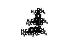 CC(C)(C)OP(Oc1cc2ccc(C(C)(C)C)cc2cc1C(C)(C)C)Oc1cc2ccc(C(C)(C)C)cc2cc1C(C)(C)C